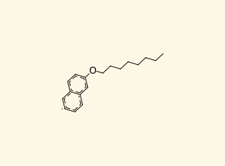 CCCCCCCCOc1ccc2c[c]ccc2c1